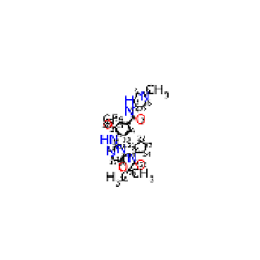 CN1CCC(NC(=O)c2ccc(Nc3ncc4c(n3)N(C3CCCC3)C(=O)C(C)(C)O4)c(OC(F)(F)F)c2)CC1